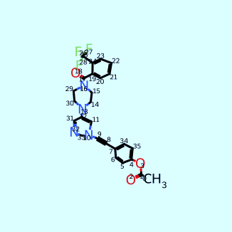 CC(=O)Oc1ccc(C#CN2C=C(N3CCN(C(=O)c4ccccc4C(F)(F)F)CC3)C=NC2)cc1